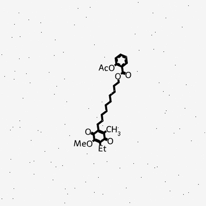 CCC1=C(OC)C(=O)C(CCCCCCCCCCOC(=O)c2ccccc2OC(C)=O)=C(C)C1=O